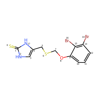 S=c1[nH]cc(CSCOc2cccc(Br)c2Br)[nH]1